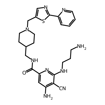 N#Cc1c(N)cc(C(=O)NCC2CCN(Cc3cnc(-c4ccccn4)s3)CC2)nc1NCCCN